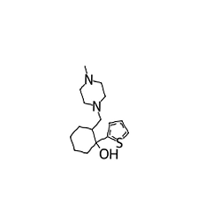 CN1CCN(CC2CCCCC2(O)c2cccs2)CC1